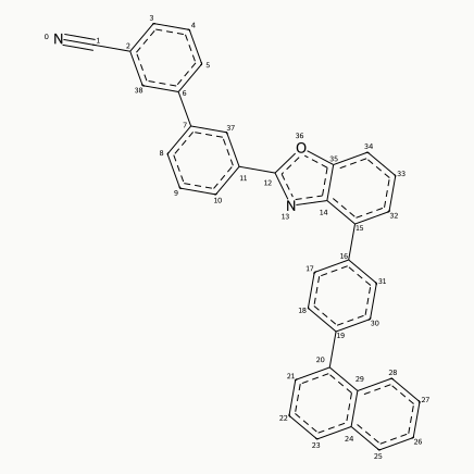 N#Cc1cccc(-c2cccc(-c3nc4c(-c5ccc(-c6cccc7ccccc67)cc5)cccc4o3)c2)c1